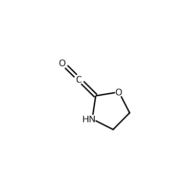 O=C=C1NCCO1